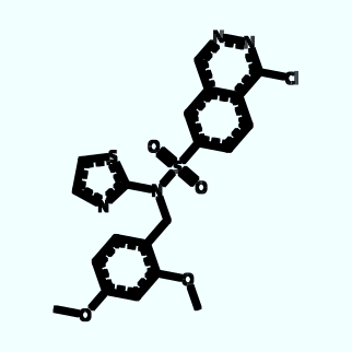 COc1ccc(CN(c2nccs2)S(=O)(=O)c2ccc3c(Cl)nncc3c2)c(OC)c1